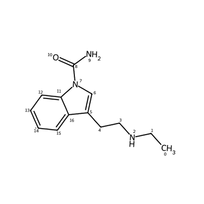 CCNCCc1cn(C(N)=O)c2cc[c]cc12